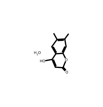 Cc1cc2oc(=O)cc(O)c2cc1C.O